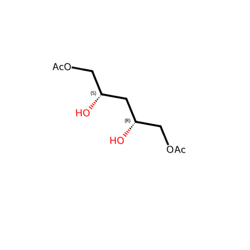 CC(=O)OC[C@@H](O)C[C@@H](O)COC(C)=O